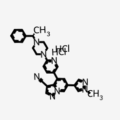 C[C@H](c1ccccc1)N1CCN(c2ccc(-c3cc(-c4cnn(C)c4)cn4ncc(C#N)c34)cn2)CC1.Cl.Cl